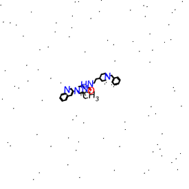 C[C@@H]1CN(c2cnc3ccccc3c2)CCN1C(=O)NCCC1CCN(Cc2ccccc2)CC1